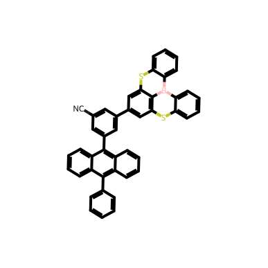 N#Cc1cc(-c2cc3c4c(c2)Sc2ccccc2B4c2ccccc2S3)cc(-c2c3ccccc3c(-c3ccccc3)c3ccccc23)c1